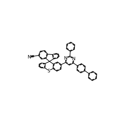 N#Cc1ccc2c(c1)C1(c3ccccc3Sc3ccc(-c4cc(-c5ccc(-c6ccccc6)cc5)nc(-c5ccccc5)n4)cc31)c1ccccc1-2